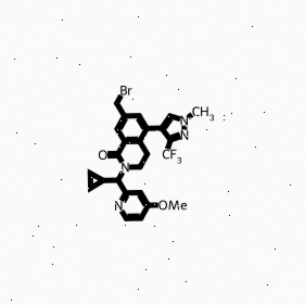 COc1ccnc(C(C2CC2)N2CCc3c(cc(CBr)cc3-c3cn(C)nc3C(F)(F)F)C2=O)c1